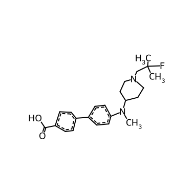 CN(c1ccc(-c2ccc(C(=O)O)cc2)cc1)C1CCN(CC(C)(C)F)CC1